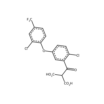 O=C(O)C(C(=O)O)C(=O)c1cc(Oc2ccc(C(F)(F)F)cc2Cl)ccc1Cl